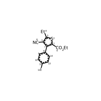 CCOC(=O)c1sc(CC)c(C#N)c1-c1ccc(I)cc1